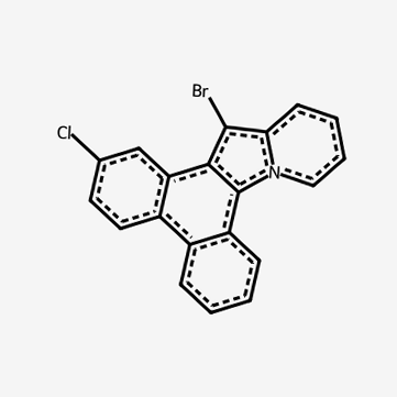 Clc1ccc2c3ccccc3c3c(c(Br)c4ccccn43)c2c1